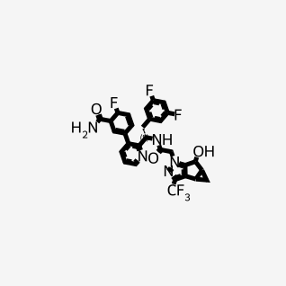 NC(=O)C1C=C(c2cccnc2[C@H](Cc2cc(F)cc(F)c2)NC(=O)Cn2nc(C(F)(F)F)c3c2C(O)C2CC32)C=CC1F